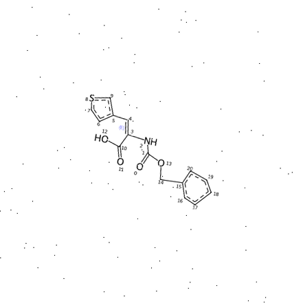 O=C(N/C(=C/c1ccsc1)C(=O)O)OCc1ccccc1